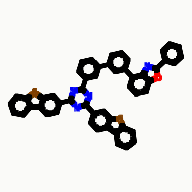 c1ccc(-c2nc3c(-c4cccc(-c5cccc(-c6nc(-c7ccc8c(c7)sc7ccccc78)nc(-c7ccc8c(c7)sc7ccccc78)n6)c5)c4)cccc3o2)cc1